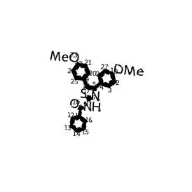 COc1ccc(-c2nc(NC(=O)c3ccccc3)sc2-c2ccc(OC)cc2)cc1